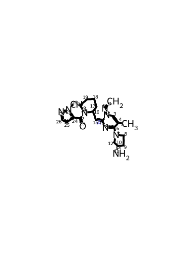 C=NN1C=C(C)C(N2CC[C@H](N)C2)=N/C1=C/C1CCCCN1C(=O)c1ccnn1C